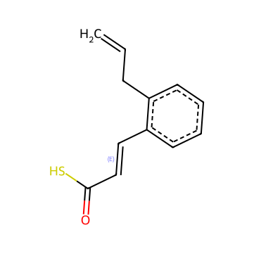 C=CCc1ccccc1/C=C/C(=O)S